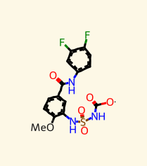 COc1ccc(C(=O)Nc2ccc(F)c(F)c2)cc1NS(=O)(=O)NC([O])=O